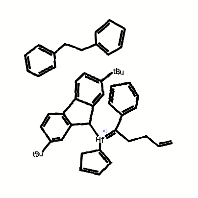 C=CCC/[C](c1ccccc1)=[Hf](\[C]1=CC=CC1)[CH]1c2cc(C(C)(C)C)ccc2-c2ccc(C(C)(C)C)cc21.c1ccc(CCc2ccccc2)cc1